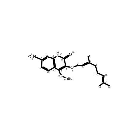 CCCCOc1c(OC/C=C(\C)CCC=C(C)C)c(=O)[nH]c2cc([N+](=O)[O-])ccc12